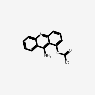 CCC(=O)Oc1cccc2nc3ccccc3c(N)c12